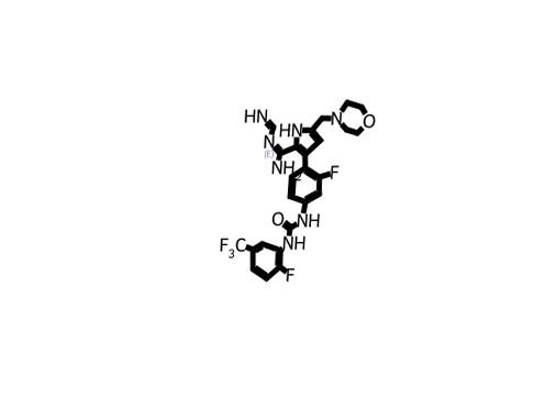 N=C/N=C(/N)c1[nH]c(CN2CCOCC2)cc1-c1ccc(NC(=O)Nc2cc(C(F)(F)F)ccc2F)cc1F